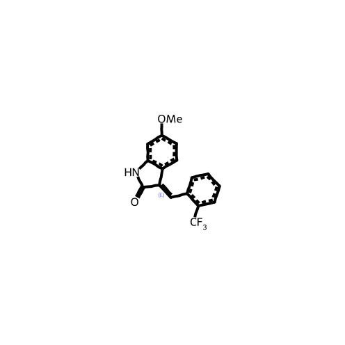 COc1ccc2c(c1)NC(=O)/C2=C/c1ccccc1C(F)(F)F